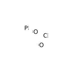 [C].[O].[O].[P]